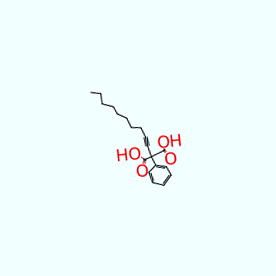 CCCCCCCCC#CC(C(=O)O)(C(=O)O)c1ccccc1